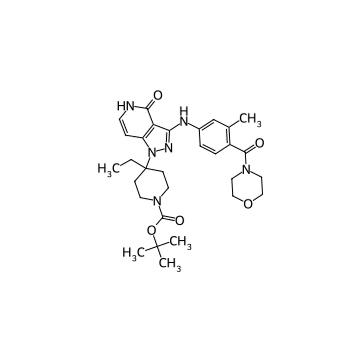 CCC1(n2nc(Nc3ccc(C(=O)N4CCOCC4)c(C)c3)c3c(=O)[nH]ccc32)CCN(C(=O)OC(C)(C)C)CC1